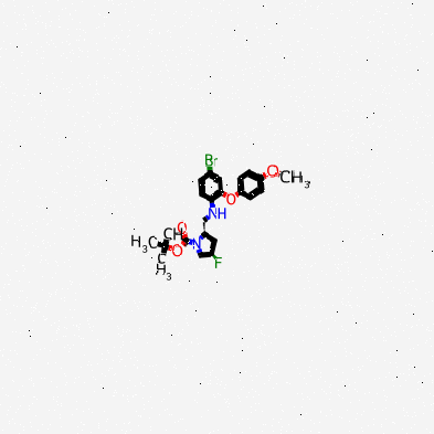 COc1ccc(Oc2cc(Br)ccc2NC[C@@H]2C[C@@H](F)CN2C(=O)OC(C)(C)C)cc1